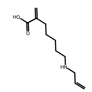 C=CCNCCCCCC(=C)C(=O)O